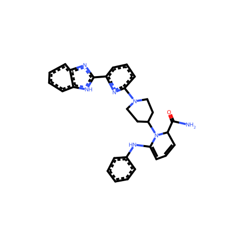 NC(=O)C1C=CC=C(Nc2ccccc2)N1C1CCN(c2cccc(-c3nc4ccccc4[nH]3)n2)CC1